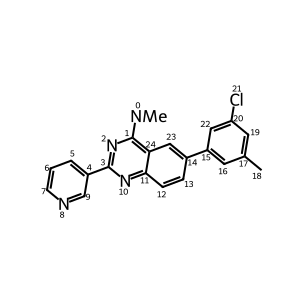 CNc1nc(-c2cccnc2)nc2ccc(-c3cc(C)cc(Cl)c3)cc12